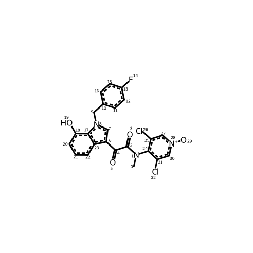 CN(C(=O)C(=O)c1cn(Cc2ccc(F)cc2)c2c(O)cccc12)c1c(Cl)c[n+]([O-])cc1Cl